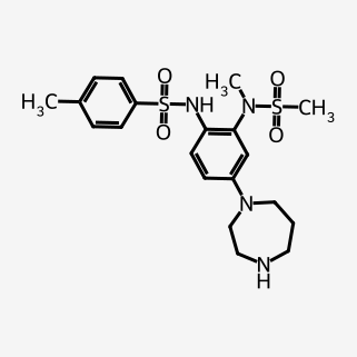 Cc1ccc(S(=O)(=O)Nc2ccc(N3CCCNCC3)cc2N(C)S(C)(=O)=O)cc1